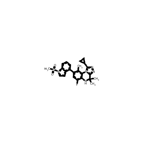 Cc1c(-c2cccc3c2ccn3S(C)(=O)=O)cc(F)c2c1-n1c(C3CC3)nnc1C(C)(C)N2